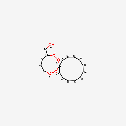 OCC1CCCOOC2(CCCCCCCCCCC2)OO1